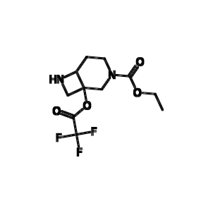 CCOC(=O)N1CCC2NCC2(OC(=O)C(F)(F)F)C1